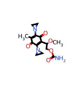 COC(COC(N)=O)C1=C(N2CC2)C(=O)C(C)=C(N2CC2)C1=O